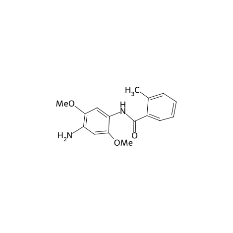 COc1cc(NC(=O)c2ccccc2C)c(OC)cc1N